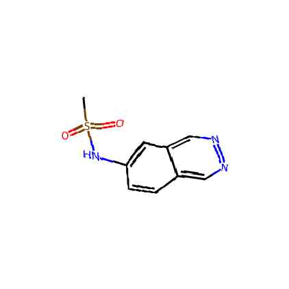 CS(=O)(=O)Nc1ccc2cnncc2c1